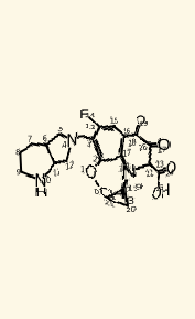 COc1c(N2CC3CCCNC3C2)c(F)cc2c1N(C1CC1)C(C(=O)O)C(=O)C2=O